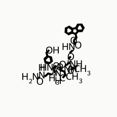 CC(=O)N[C@@H](COCCNC(=O)OCC1c2ccccc2-c2ccccc21)C(=O)NC(C(=O)N[C@@H](CCCNC(N)=O)C(=O)Nc1ccc(CO)cc1)C(C)C